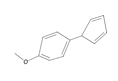 COc1ccc(C2C=CC=C2)cc1